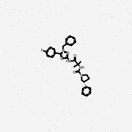 CC(C)(NC(=O)N1CC[C@H](c2ccccc2)C1)C(=O)Nc1nc(-c2ccc(F)cc2)n(Cc2ccccc2)n1